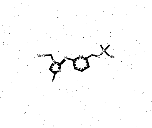 COCn1cc(F)s/c1=N\c1cccc(CO[Si](C)(C)C(C)(C)C)n1